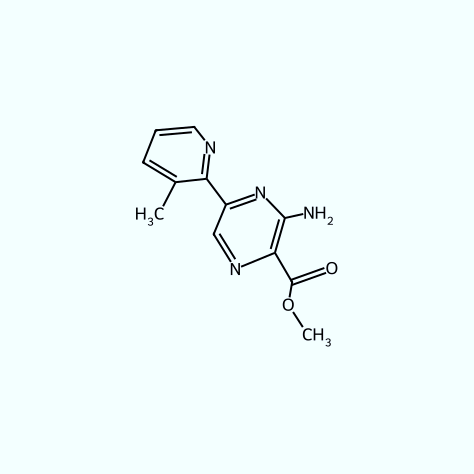 COC(=O)c1ncc(-c2ncccc2C)nc1N